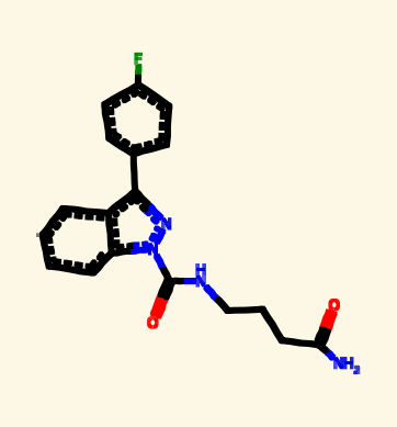 NC(=O)CCCNC(=O)n1nc(-c2ccc(F)cc2)c2c[c]ccc21